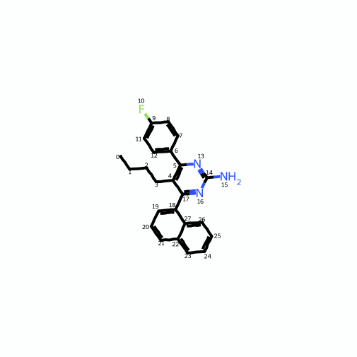 CCCCc1c(-c2ccc(F)cc2)nc(N)nc1-c1cccc2ccccc12